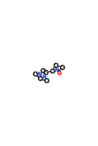 O=c1c2ccccc2c2cccc3c4cc(-c5cccc(-n6c7ccccc7c7ccc8c9ccccc9n(-c9ccccc9)c8c76)c5)ccc4n1c23